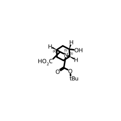 CC(C)(C)OC(=O)N1C(C(=O)O)[C@@H]2CC[C@H]1[C@@H](O)C2